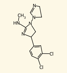 CNC1=NC(c2ccc(Cl)c(Cl)c2)CN1N1C=NCC1